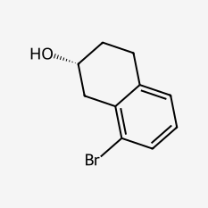 O[C@@H]1CCc2cccc(Br)c2C1